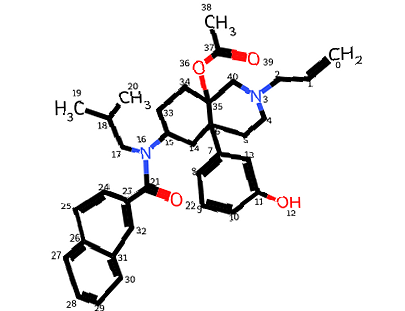 C=CCN1CCC2(c3cccc(O)c3)CC(N(CC(C)C)C(=O)c3ccc4ccccc4c3)CCC2(OC(C)=O)C1